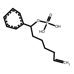 C=CCCCCC(OP(=O)(O)O)c1ccccc1